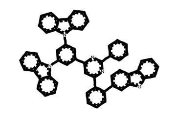 c1ccc(-c2nc(-c3cc(-n4c5ccccc5c5ccccc54)cc(-n4c5ccccc5c5ccccc54)c3)cc(-c3ccccc3-c3ccc4c(c3)oc3ccccc34)n2)cc1